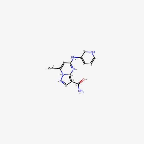 CNc1cc(NC2=CC=CNC2)nc2c(C(N)=O)cnn12